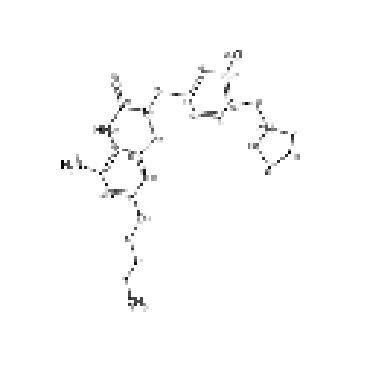 CCCCOc1nc(N)c2c(n1)CN(Cc1ccc(CN3CCCC3)c(Cl)c1)C(=O)N2